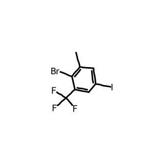 Cc1cc(I)cc(C(F)(F)F)c1Br